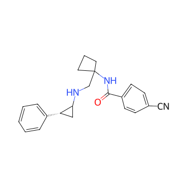 N#Cc1ccc(C(=O)NC2(CNC3C[C@@H]3c3ccccc3)CCC2)cc1